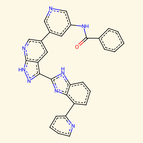 O=C(Nc1cncc(-c2cnc3[nH]nc(-c4nc5c(-c6ccccn6)cccc5[nH]4)c3c2)c1)c1ccccc1